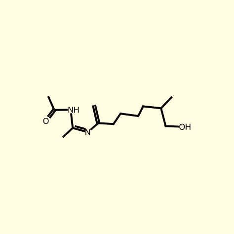 C=C(CCCCC(C)CO)/N=C(/C)NC(C)=O